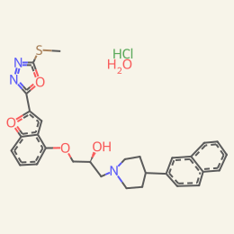 CSc1nnc(-c2cc3c(OC[C@@H](O)CN4CCC(c5ccc6ccccc6c5)CC4)cccc3o2)o1.Cl.O